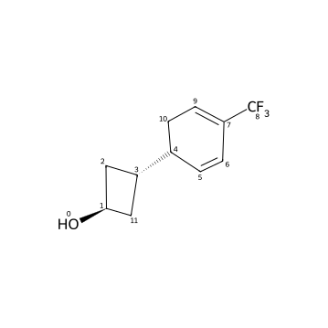 O[C@H]1C[C@H](C2C=CC(C(F)(F)F)=CC2)C1